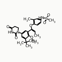 CC=C(Oc1ccc(NS(C)(=O)=O)cc1C)c1cc(N2CCC(=O)NC2=O)cc(C(C)(C)C)c1OC